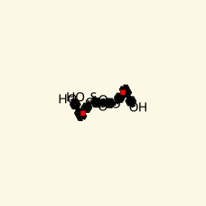 O=S(=O)(O)c1cc(S(=O)(=O)c2ccc(Oc3ccc(C45CC6CC(CC(c7ccc(O)cc7)(C6)C4)C5)cc3)cc2)ccc1Oc1ccc(C23CC4CC(CC(c5ccc(O)cc5)(C4)C2)C3)cc1